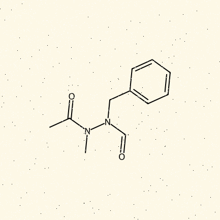 CC(=O)N(C)N([C]=O)Cc1ccccc1